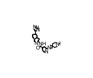 Cn1cc(-c2ccc3cnc(NC(=O)c4ccnc(N5CC6(CCN(I)CC6)C5)c4)cc3c2)nn1